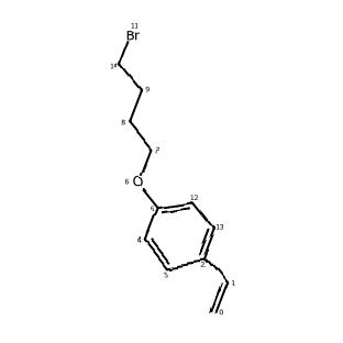 C=Cc1ccc(OCCCCBr)cc1